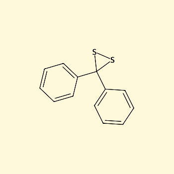 c1ccc(C2(c3ccccc3)SS2)cc1